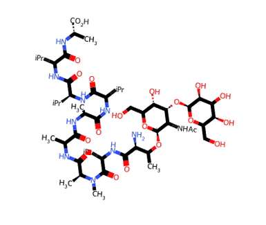 CC(=O)NC1[C@@H](OC(C)[C@H](N)C(=O)NC(C(=O)N(C)[C@@H](C)C(=O)NC(C)C(=O)N[C@@H](C)C(=O)NC(C(=O)N[C@H](C(=O)NC(C(=O)N[C@@H](C)C(=O)O)C(C)C)C(C)C)C(C)C)C(C)C)OC(CO)[C@H](O)[C@@H]1O[C@@H]1OC(CO)[C@H](O)C(O)[C@@H]1O